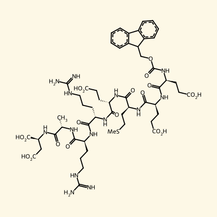 CSCC[C@H](NC(=O)[C@H](CCC(=O)O)NC(=O)[C@H](CCC(=O)O)NC(=O)OCC1c2ccccc2-c2ccccc21)C(=O)N[C@@H](CCC(=O)O)C(=O)N[C@@H](CCCNC(=N)N)C(=O)N[C@@H](CCCNC(=N)N)C(=O)N[C@@H](C)C(=O)N[C@@H](CC(=O)O)C(=O)O